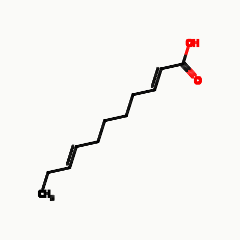 CCC=CCCCCC=CC(=O)O